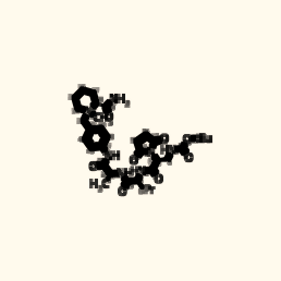 CC(C)[C@H](NC(=O)[C@H](CNC(=O)OC(C)(C)C)N1C(=O)C=CC1=O)C(=O)N[C@@H](C)C(=O)Nc1ccc(C[N+]2(C)CCCC[C@@H]2C(N)=O)cc1